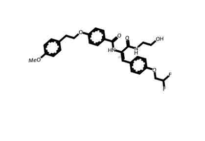 COc1ccc(CCOc2ccc(C(=O)N/C(=C/c3ccc(OCC(F)F)cc3)C(=O)NCCO)cc2)cc1